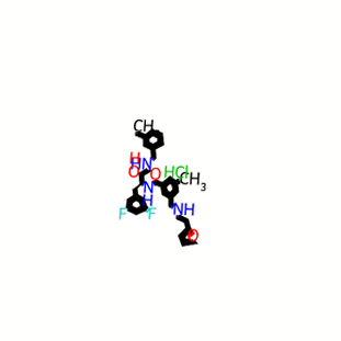 CCc1cccc(CNC[C@@H](O)[C@H](Cc2cc(F)cc(F)c2)NC(=O)c2cc(C)cc(CNCCc3ccco3)c2)c1.Cl